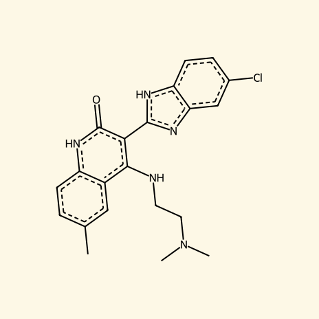 Cc1ccc2[nH]c(=O)c(-c3nc4cc(Cl)ccc4[nH]3)c(NCCN(C)C)c2c1